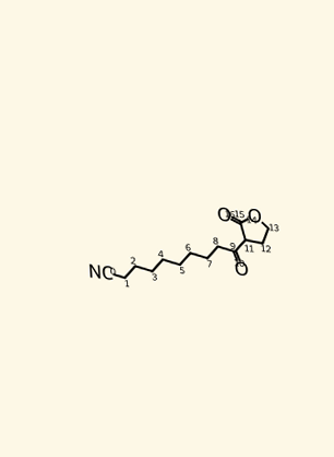 N#CCCCCCCCCC(=O)C1CCOC1=O